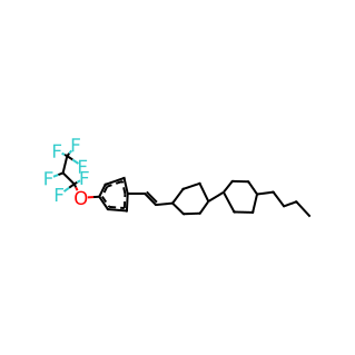 CCCCC1CCC(C2CCC(C=Cc3ccc(OC(F)(F)C(F)C(F)(F)F)cc3)CC2)CC1